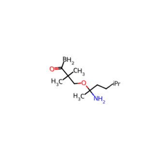 BC(=O)C(C)(C)COC(C)(N)CCC(C)C